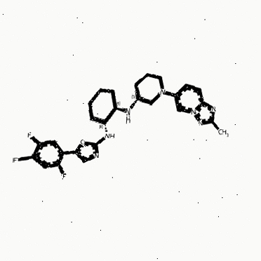 Cc1nc2ccc(N3CCC[C@H](N[C@@H]4CCCC[C@H]4Nc4ncc(-c5cc(F)c(F)cc5F)o4)C3)cn2n1